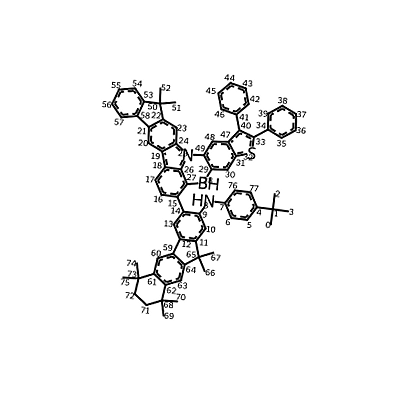 CC(C)(C)c1ccc(Nc2cc3c(cc2-c2ccc4c5cc6c(cc5n5c4c2Bc2cc4sc(-c7ccccc7)c(-c7ccccc7)c4cc2-5)C(C)(C)c2ccccc2-6)-c2cc4c(cc2C3(C)C)C(C)(C)CCC4(C)C)cc1